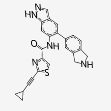 O=C(Nc1cc2[nH]ncc2cc1-c1ccc2c(c1)CNC2)c1csc(C#CC2CC2)n1